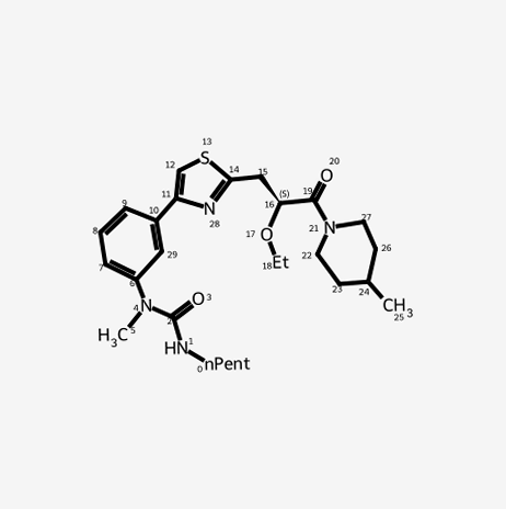 CCCCCNC(=O)N(C)c1cccc(-c2csc(C[C@H](OCC)C(=O)N3CCC(C)CC3)n2)c1